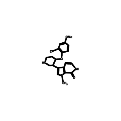 COc1ccc(OC2CCNCC2c2cn(C)c3c(=O)[nH]ccc23)c(Cl)c1